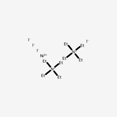 CC[N+](CC)(CC)CC.CC[N+](CC)(CC)CC.[I-].[I-].[I-].[I-].[Ni+2]